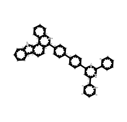 c1ccc(-c2nc(-c3ccc(-c4ccc(-c5nc6ccccc6c6c5ccc5c7ccccc7oc56)cc4)cc3)cc(-c3ccccn3)n2)cc1